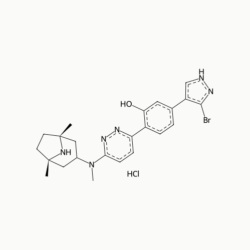 CN(c1ccc(-c2ccc(-c3c[nH]nc3Br)cc2O)nn1)C1C[C@]2(C)CC[C@](C)(C1)N2.Cl